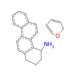 C1=CCOC=C1.NC1CCCc2ccc3c(ccc4ccccc43)c21